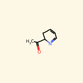 CC(=O)C1CC=CC=N1